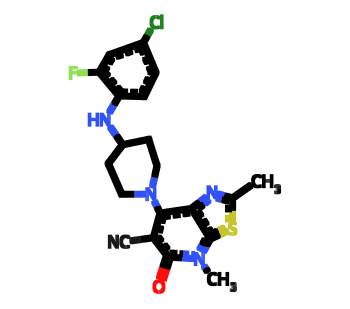 Cc1nc2c(N3CCC(Nc4ccc(Cl)cc4F)CC3)c(C#N)c(=O)n(C)c2s1